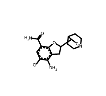 NC(=O)c1cc(Cl)c(N)c2c1OC(C1CN3CCC1CC3)C2